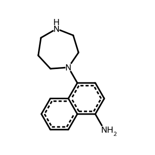 Nc1ccc(N2CCCNCC2)c2ccccc12